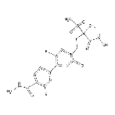 CNC(=O)c1ccc(-c2cc(=O)n(CCC(C)(C(=O)NO)S(C)(=O)=O)cc2F)cc1F